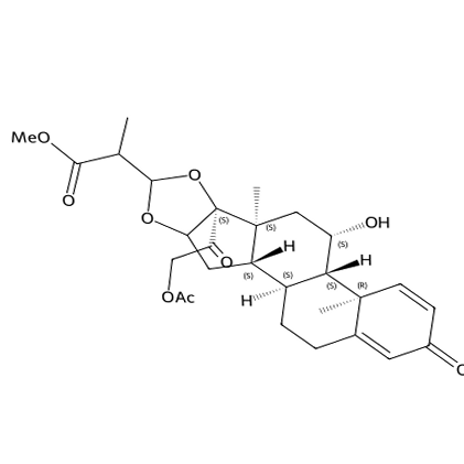 COC(=O)C(C)C1OC2C[C@H]3[C@@H]4CCC5=CC(=O)C=C[C@]5(C)[C@H]4[C@@H](O)C[C@]3(C)[C@]2(C(=O)COC(C)=O)O1